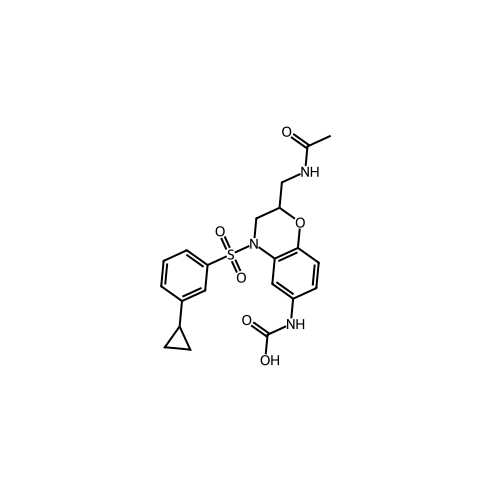 CC(=O)NCC1CN(S(=O)(=O)c2cccc(C3CC3)c2)c2cc(NC(=O)O)ccc2O1